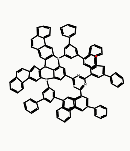 c1ccc(-c2cc(-c3ccccc3)cc(-c3nc(-c4cc(-c5ccccc5)cc(-c5ccccc5)c4)nc(-c4cc5c6c(c4)N(c4cc(-c7ccccc7)cc(-c7ccccc7)c4)c4cc7c(ccc8ccccc87)cc4B6c4cc6ccc7ccccc7c6cc4N5c4cc(-c5ccccc5)cc(-c5ccccc5)c4)n3)c2)cc1